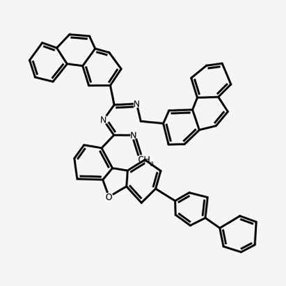 C=N/C(=N\C(=N/Cc1ccc2ccc3ccccc3c2c1)c1ccc2ccc3ccccc3c2c1)c1cccc2oc3cc(-c4ccc(-c5ccccc5)cc4)ccc3c12